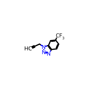 C#CCn1nnc2ccc(C(F)(F)F)cc21